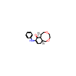 C[C@]12CCOCCOC[C@@H]1CC=C(Nc1ccccc1)C2=O